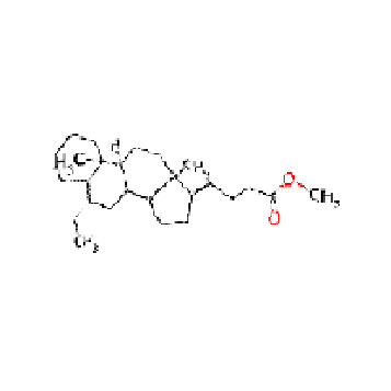 CC[C@H]1CC2C3CCC(CCCC(=O)OC)C3(C)CC[C@@H]2C2(C)CCCCC12